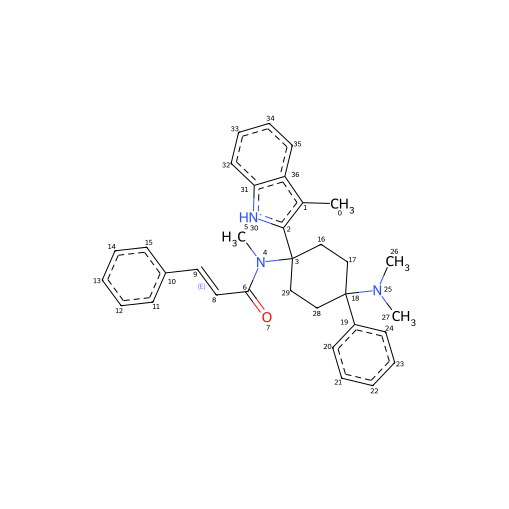 Cc1c(C2(N(C)C(=O)/C=C/c3ccccc3)CCC(c3ccccc3)(N(C)C)CC2)[nH]c2ccccc12